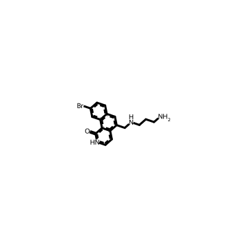 NCCCNCc1cc2ccc(Br)cc2c2c(=O)[nH]ccc12